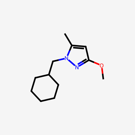 COc1cc(C)n(CC2CCCCC2)n1